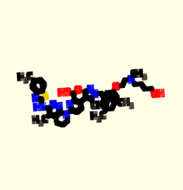 Cc1ccc2sc(Nc3nnc4c(c3C)CCCN4c3ccc(-c4cnn(CC56CC7(C)CC(C)(C5)CC(OCCN(C)CCCCO)(C7)C6)c4C)c(C(=O)O)n3)nc2c1